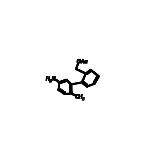 CC(=O)OCc1ccccc1-c1cc(N)ccc1C